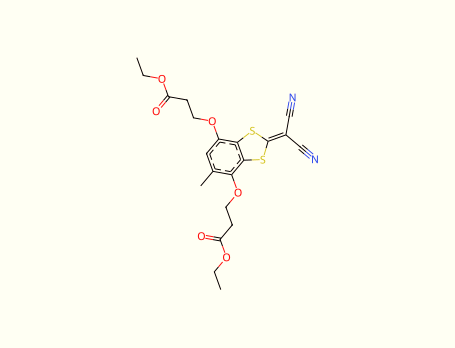 CCOC(=O)CCOc1cc(C)c(OCCC(=O)OCC)c2c1SC(=C(C#N)C#N)S2